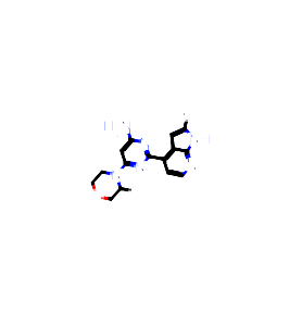 Cc1cc2c(-c3nc(N)cc(N4CCOCC4C)n3)ccnc2[nH]1